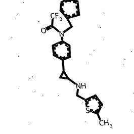 Cc1ccc(CNC2CC2c2ccc(N(Cc3ccccc3)C(=O)C(F)(F)F)cc2)s1